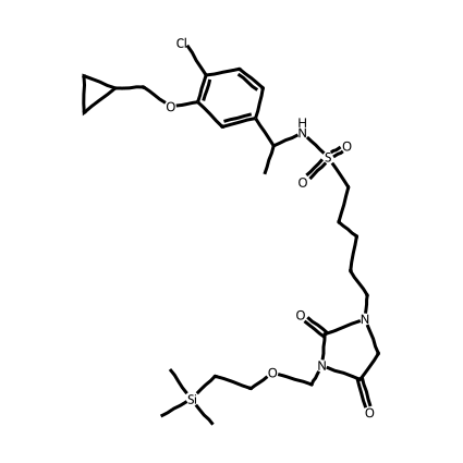 CC(NS(=O)(=O)CCCCCN1CC(=O)N(COCC[Si](C)(C)C)C1=O)c1ccc(Cl)c(OCC2CC2)c1